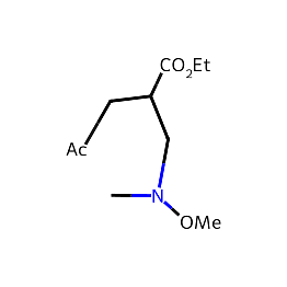 CCOC(=O)C(CC(C)=O)CN(C)OC